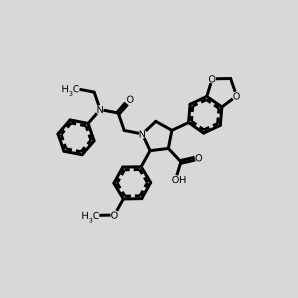 CCN(C(=O)CN1CC(c2ccc3c(c2)OCO3)C(C(=O)O)C1c1ccc(OC)cc1)c1ccccc1